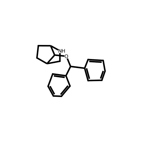 c1ccc(C(OC2C3CCC2NC3)c2ccccc2)cc1